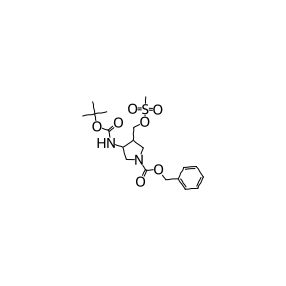 CC(C)(C)OC(=O)NC1CN(C(=O)OCc2ccccc2)CC1COS(C)(=O)=O